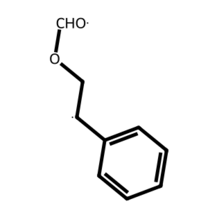 O=[C]OC[CH]c1ccccc1